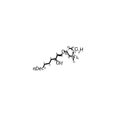 CCCCCCCCCCCCCC(O)C=CO[C@H](CC(=O)O)C[N+](C)(C)C